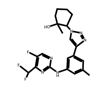 Cc1cc(Nc2ncc(F)c(C(F)F)n2)cc(-c2cn(C3CCCCC3(C)O)nn2)c1